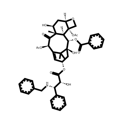 CC(=O)O[C@H]1C(=O)[C@@]2(C)[C@H]([C@H](OC(=O)c3ccccc3)[C@]3(O)C[C@H](OC(=O)[C@H](O)[C@@H](NCc4ccccc4)c4ccccc4)C=C1C3(C)C)[C@]1(OC(C)=O)CO[C@@H]1C[C@@H]2O